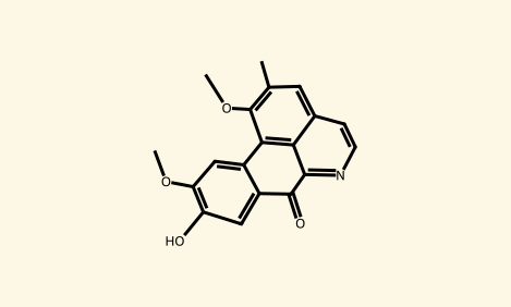 COc1cc2c(cc1O)C(=O)c1nccc3cc(C)c(OC)c-2c13